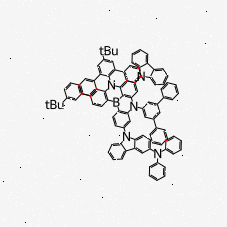 CC(C)(C)c1cccc(-c2ccc3c(c2)N(c2c(-c4ccccc4)cc(C(C)(C)C)cc2-c2ccccc2)c2cc(-n4c5ccccc5c5ccccc54)cc4c2B3c2ccc(-n3c5ccccc5c5cc(N(c6ccccc6)c6ccccc6)ccc53)cc2N4c2cc(-c3ccccc3)cc(-c3ccccc3)c2)c1